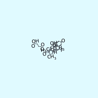 CC1C[C@H]2[C@@H]3CC(F)C4=CC(=O)C=C[C@]4(C)[C@H]3C(O)C[C@]2(C)[C@H]1C(=O)COC(=O)CCC(=O)O